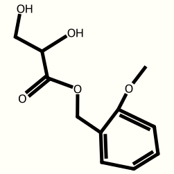 COc1ccccc1COC(=O)C(O)CO